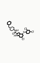 O=C(NC1CCN(Cc2ccccc2)CC1)c1cc2c(Sc3ccc(Cl)cc3Cl)cc(Cl)cc2[nH]1